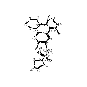 Cc1ncc(-c2c(C)ncnc2N2CCOCC2)cc1NS(=O)(=O)N1CCCC1